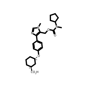 CN(C(=O)OCc1c(-c2ccc(O[C@H]3CCC[C@H](C(=O)O)C3)cc2)ncn1C)C1CCCC1